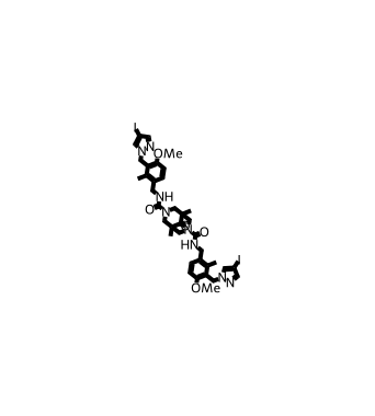 COc1ccc(CNC(=O)N2CC3(C)CN(C(=O)NCc4ccc(OC)c(Cn5cc(I)cn5)c4C)CC(C)(C2)C3=O)c(C)c1Cn1cc(I)cn1